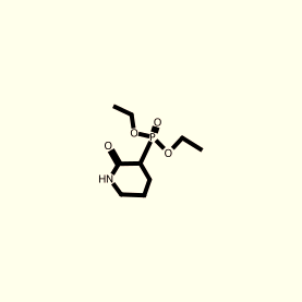 CCOP(=O)(OCC)C1CCCNC1=O